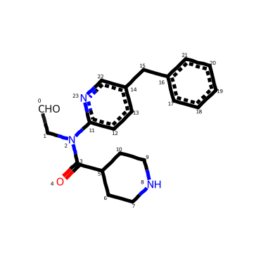 O=CCN(C(=O)C1CCNCC1)c1ccc(Cc2ccccc2)cn1